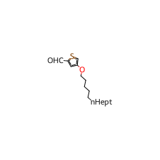 CCCCCCCCCCCCOc1csc(C=O)c1